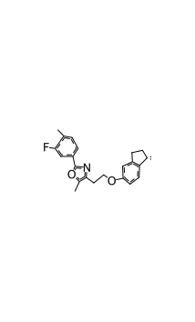 Cc1ccc(-c2nc(CCOc3ccc4c(c3)CC[C]4)c(C)o2)cc1F